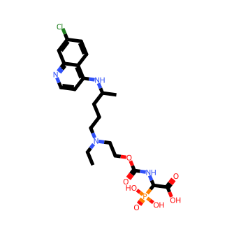 CCN(CCCC(C)Nc1ccnc2cc(Cl)ccc12)CCOC(=O)NC(C(=O)O)P(=O)(O)O